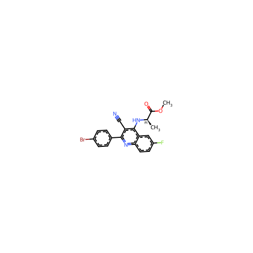 COC(=O)[C@@H](C)Nc1c(C#N)c(-c2ccc(Br)cc2)nc2ccc(F)cc12